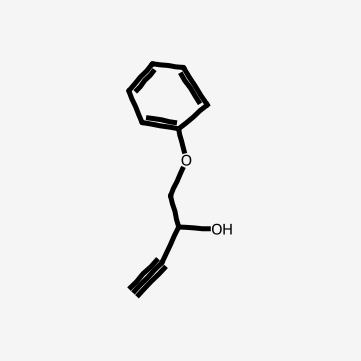 C#CC(O)COc1ccccc1